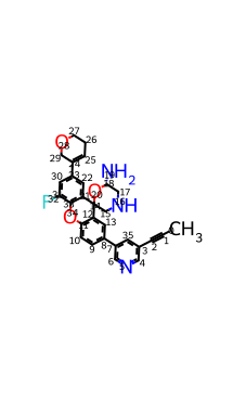 CC#Cc1cncc(-c2ccc3c(c2)C2(CNC[C@@H](N)O2)c2cc(C4=CCCOC4)cc(F)c2O3)c1